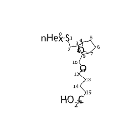 CCCCCCSCC1C2CCC(O2)C1COCCCCC(=O)O